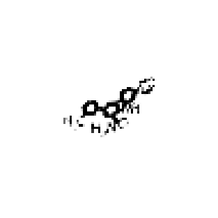 Cc1cccc(-c2cc(C(N)=O)c3[nH]c4cc(N5CCOCC5)ccc4c3c2)c1